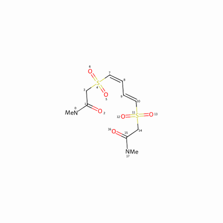 CNC(=O)CS(=O)(=O)/C=C\C=C\S(=O)(=O)CC(=O)NC